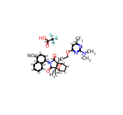 CN(C)c1nc(OCC[C@]23CC[C@](C)(O2)[C@@H]2C(=O)N(c4ccc(C#N)c5ccccc45)C(=O)[C@@H]23)cc(C(F)(F)F)n1.O=C(O)C(F)(F)F